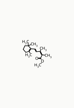 COC(=O)/C(C)=C(C)\C=C\C1=C(C)CCCC1(C)C